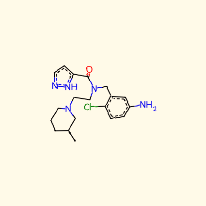 CC1CCCN(CCN(Cc2cc(N)ccc2Cl)C(=O)c2ccn[nH]2)C1